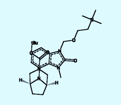 Cn1c(=O)n(COCC[Si](C)(C)C)c2cccc(N3[C@@H]4CC[C@H]3CN(C(=O)OC(C)(C)C)C4)c21